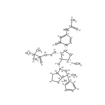 CC[C@H]1O[C@@H](n2ccc(NC(C)=O)nc2=O)[C@@H](OCOC(=O)C(C)(C)C)C1O[P@]1O[C@@](C)(c2ccccc2)[C@H]2CCCN21